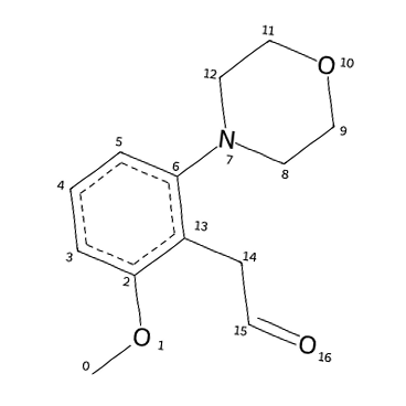 COc1cccc(N2CCOCC2)c1CC=O